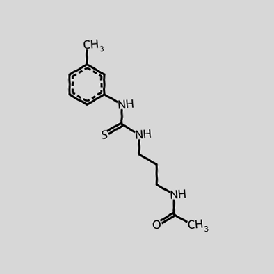 CC(=O)NCCCNC(=S)Nc1cccc(C)c1